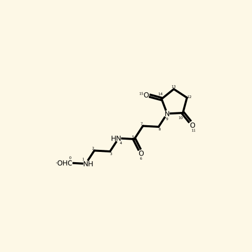 O=[C]NCCNC(=O)CCN1C(=O)CCC1=O